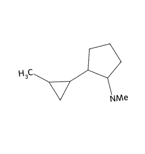 CNC1CCCC1C1CC1C